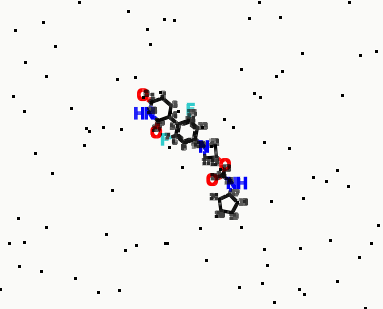 O=C1CCC(c2c(F)cc(N3CC(OC(=O)NC4CCCC4)C3)cc2F)C(=O)N1